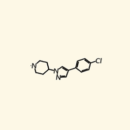 Clc1ccc(-c2cnn(C3CC[N]CC3)c2)cc1